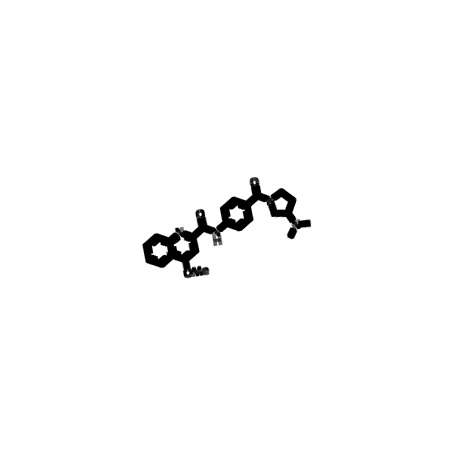 COc1cc(C(=O)Nc2ccc(C(=O)N3CCC(N(C)C)C3)cc2)nc2ccccc12